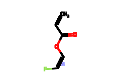 C=CC(=O)O/C=C\F